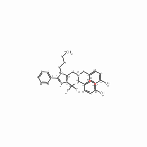 CCCCn1c(-c2ccccc2)nc(C(F)(F)F)c1CN(Cc1ccc(O)cc1)Cc1ccc(O)cc1